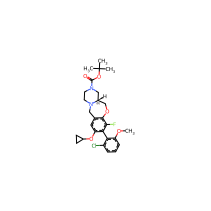 COc1cccc(Cl)c1-c1c(OC2CC2)cc2c(c1F)OC[C@H]1CN(C(=O)OC(C)(C)C)CCN1C2